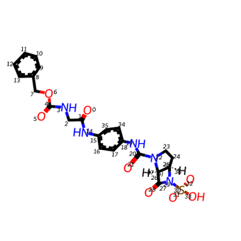 O=C(CNC(=O)OCc1ccccc1)Nc1ccc(NC(=O)N2CC[C@@H]3[C@H]2C(=O)N3S(=O)(=O)O)cc1